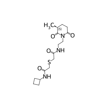 C[C@H]1CCC(=O)N(CCNC(=O)CSCC(=O)NC2CCC2)C1=O